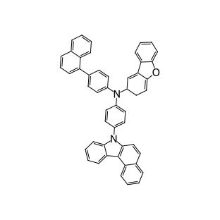 C1=c2oc3ccccc3c2=CC(N(c2ccc(-c3cccc4ccccc34)cc2)c2ccc(-n3c4ccccc4c4c5ccccc5ccc43)cc2)C1